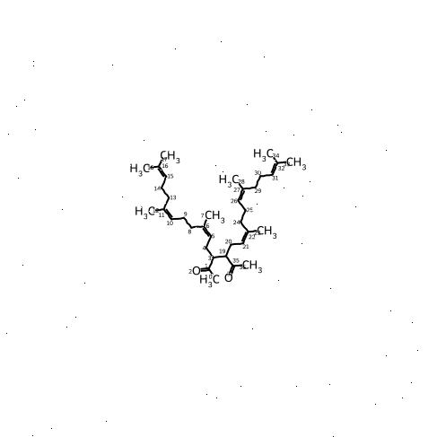 CC(=O)C(CC=C(C)CCC=C(C)CCC=C(C)C)C(CC=C(C)CCC=C(C)CCC=C(C)C)C(C)=O